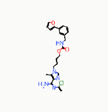 C=C(Cl)/N=C(/N)c1ncn(CCCCOC(=O)NCc2cccc(-c3ccco3)c2)c1C